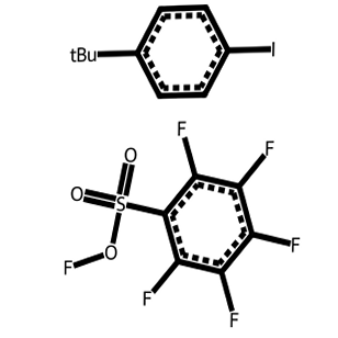 CC(C)(C)c1ccc(I)cc1.O=S(=O)(OF)c1c(F)c(F)c(F)c(F)c1F